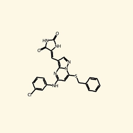 O=C1NC(=O)/C(=C/c2cnn3c(SCc4ccccc4)cc(Nc4cccc(Cl)c4)nc23)N1